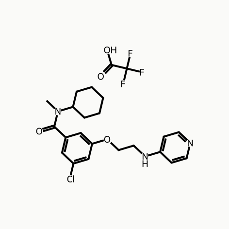 CN(C(=O)c1cc(Cl)cc(OCCNc2ccncc2)c1)C1CCCCC1.O=C(O)C(F)(F)F